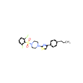 CCCc1ccc(-c2csc(N3CCN(S(=O)(=O)c4c(F)cccc4F)CC3)n2)cc1